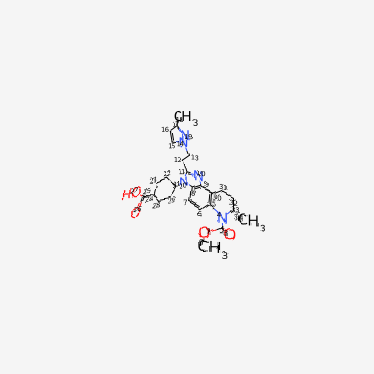 COC(=O)N1c2ccc3c(nc(CCn4ccc(C)n4)n3[C@H]3CC[C@H](C(=O)O)CC3)c2CC[C@@H]1C